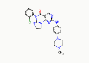 CN1CCN(c2ccc(Nc3ncc4c(n3)N3CCN=C3N(c3ccccc3Cl)C4=O)cc2)CC1